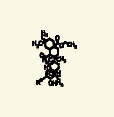 CCOC(=O)[C@]12CCC(C)(C)CC1C1C(=O)C[C@@H]3[C@@]4(C)C=C(C#N)C(O)[C@@H](C)[C@@H]4CC[C@@]3(C)[C@]1(C)CC2